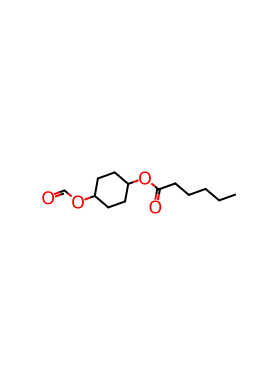 CCCCCC(=O)OC1CCC(OC=O)CC1